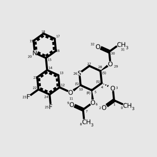 CC(=O)O[C@@H]1[C@@H](OC(C)=O)[C@@H](Oc2cc(-c3ccccn3)cc(F)c2F)SC[C@H]1OC(C)=O